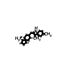 CC1CCC2(CC1)NC(CC1CCC3(CCC[C@@H]3C)CC1)[C@@H]2C